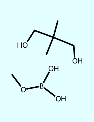 CC(C)(CO)CO.COB(O)O